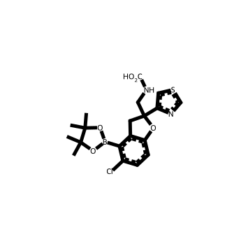 CC1(C)OB(c2c(Cl)ccc3c2CC(CNC(=O)O)(c2cscn2)O3)OC1(C)C